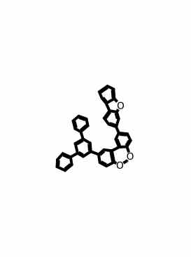 c1ccc(-c2cc(-c3ccccc3)cc(-c3ccc4c(c3)-c3cc(-c5ccc6c(c5)oc5ccccc56)ccc3OCO4)c2)cc1